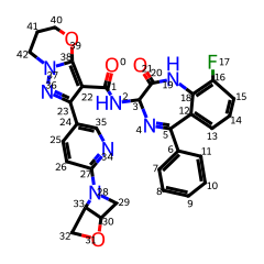 O=C(NC1N=C(c2ccccc2)c2cccc(F)c2NC1=O)c1c(-c2ccc(N3CC4OCC43)nc2)nn2c1OCCC2